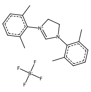 Cc1cccc(C)c1N1C=[N+](c2c(C)cccc2C)CC1.F[B-](F)(F)F